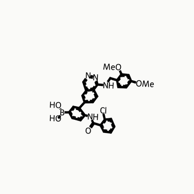 COc1ccc(CNc2nncc3cc(-c4cc(B(O)O)ccc4NC(=O)c4ccccc4Cl)ccc23)c(OC)c1